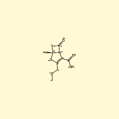 COCC1=C(C(=O)O)N2C(=O)C[C@H]2S1